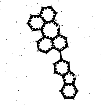 c1ccc2c(c1)oc1cc(-c3ccc4sc5cccc6cccc(c7cccc3c47)c65)ccc12